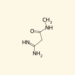 CNC(=O)CC(=N)N